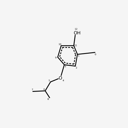 Cc1cc(OCC(C)C)ccc1O